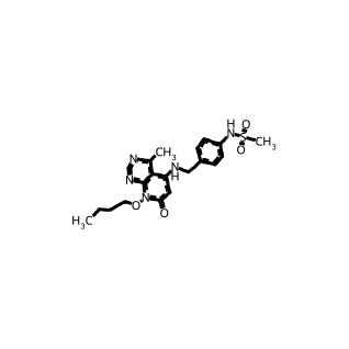 CCCCOn1c(=O)cc(NCc2ccc(NS(C)(=O)=O)cc2)c2c(C)ncnc21